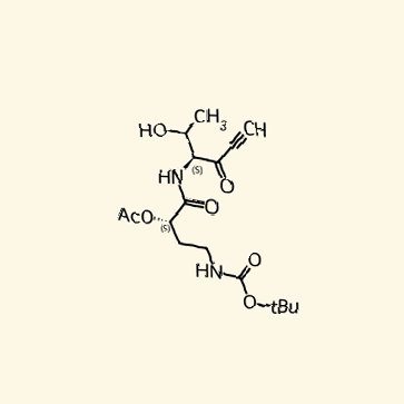 C#CC(=O)[C@@H](NC(=O)[C@H](CCNC(=O)OC(C)(C)C)OC(C)=O)C(C)O